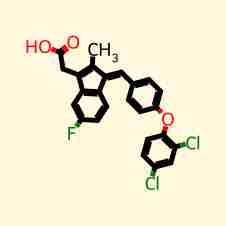 CC1=C(CC(=O)O)c2cc(F)ccc2/C1=C\c1ccc(Oc2ccc(Cl)cc2Cl)cc1